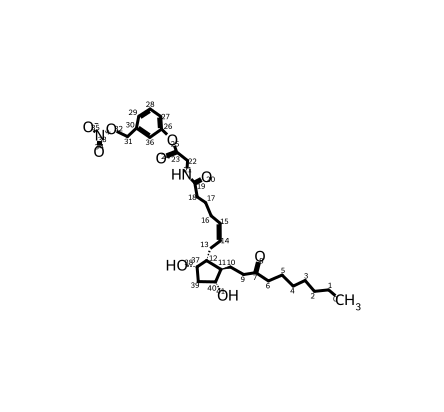 CCCCCCCC(=O)CC[C@@H]1[C@@H](C/C=C\CCCC(=O)NCC(=O)Oc2cccc(CO[N+](=O)[O-])c2)[C@@H](O)C[C@H]1O